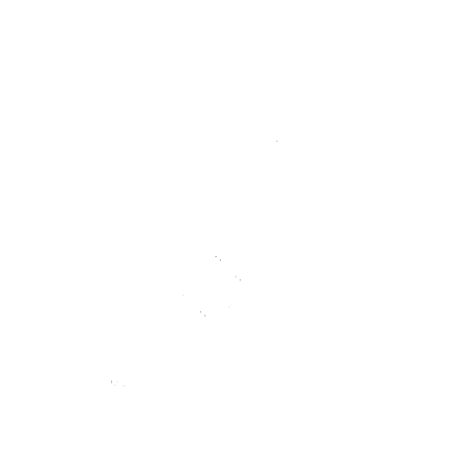 COC[C@H](O)Cn1c(=O)cnn(-c2ccc(Cl)c(C(=O)CCC3(O)CCCCCC3)c2)c1=O